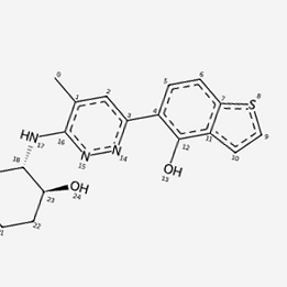 Cc1cc(-c2ccc3sccc3c2O)nnc1N[C@H]1CCCC[C@@H]1O